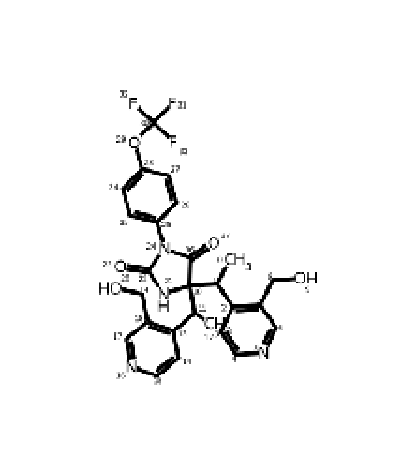 CC(c1ccncc1CO)C1(C(C)c2ccncc2CO)NC(=O)N(c2ccc(OC(F)(F)F)cc2)C1=O